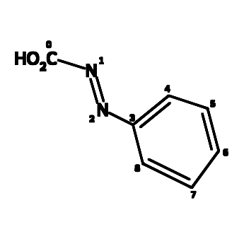 O=C(O)/N=N/c1ccccc1